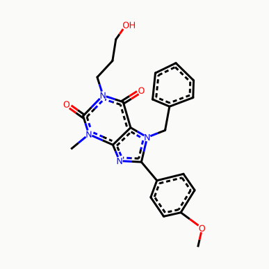 COc1ccc(-c2nc3c(c(=O)n(CCCO)c(=O)n3C)n2Cc2ccccc2)cc1